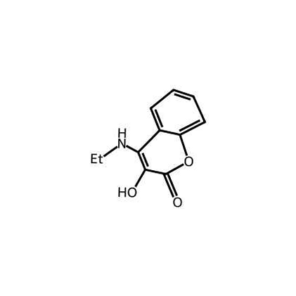 CCNc1c(O)c(=O)oc2ccccc12